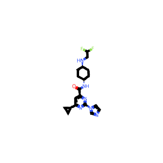 O=C(N[C@H]1CC[C@H](NCC(F)F)CC1)c1cc(C2CC2)nc(-n2ccnc2)n1